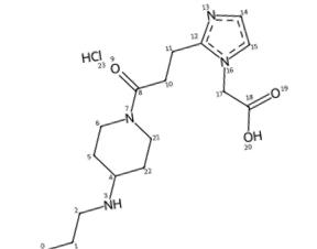 CCCNC1CCN(C(=O)CCc2nccn2CC(=O)O)CC1.Cl